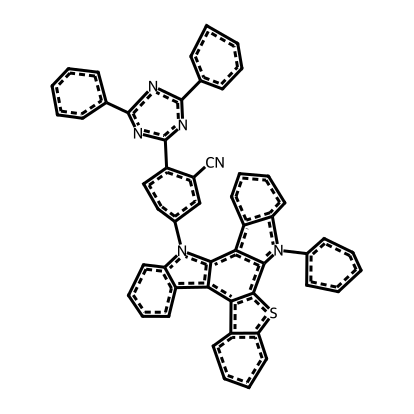 N#Cc1cc(-n2c3ccccc3c3c4c5ccccc5sc4c4c(c5ccccc5n4-c4ccccc4)c32)ccc1-c1nc(-c2ccccc2)nc(-c2ccccc2)n1